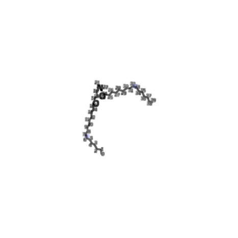 CCCCCC/C=C\CCCCCCCCOCC(CN(C)C)OCCCCCCCC/C=C\CCCCCC